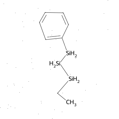 CC[SiH2][SiH2][SiH2]c1ccccc1